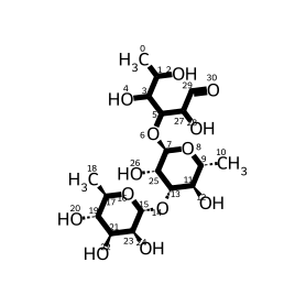 CC(O)C(O)C(O[C@H]1O[C@H](C)[C@@H](O)[C@H](O[C@H]2O[C@H](C)[C@@H](O)[C@H](O)[C@@H]2O)[C@@H]1O)C(O)C=O